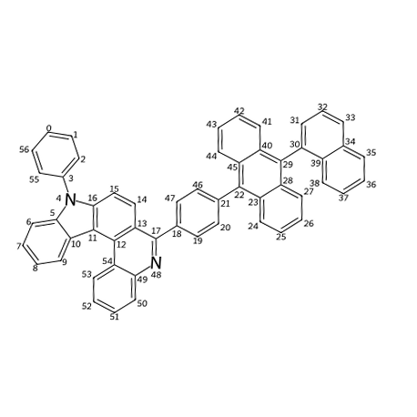 c1ccc(-n2c3ccccc3c3c4c(ccc32)c(-c2ccc(-c3c5ccccc5c(-c5cccc6ccccc56)c5ccccc35)cc2)nc2ccccc24)cc1